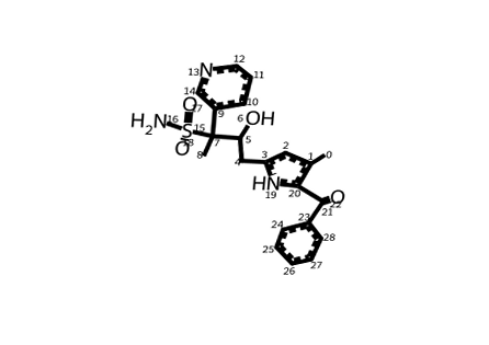 Cc1cc(CC(O)C(C)(c2cccnc2)S(N)(=O)=O)[nH]c1C(=O)c1ccccc1